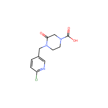 O=C(O)N1CCN(Cc2ccc(Cl)nc2)C(=O)C1